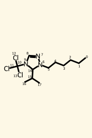 CCCCCCN1N=CN(C(Cl)(Cl)Cl)C1C(C)C